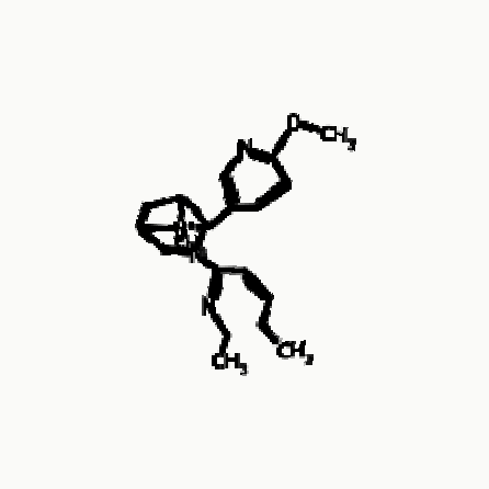 CC/C=C\C(=N/CC)N1CC2CC(C1)[N+]2(C)Cc1ccc(OC)nc1